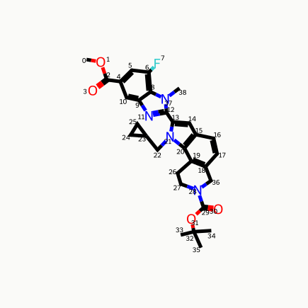 COC(=O)c1cc(F)c2c(c1)nc(-c1cc3ccc4c(c3n1CC1CC1)CCN(C(=O)OC(C)(C)C)C4)n2C